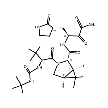 CC(C)(C)NC(=O)N[C@H](C(=O)N1C[C@H]2[C@@H]([C@H]1C(=O)N[C@@H](C[C@@H]1CCNC1=O)C(=O)C(N)=O)C2(C)C)C(C)(C)C